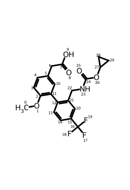 COc1ccc(CC(=O)O)cc1-c1ccc(C(F)(F)F)cc1CNC(=O)OC1CC1